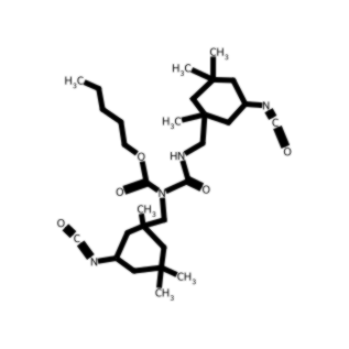 CCCCCOC(=O)N(CC1(C)CC(N=C=O)CC(C)(C)C1)C(=O)NCC1(C)CC(N=C=O)CC(C)(C)C1